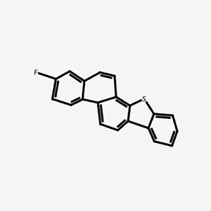 Fc1ccc2c(ccc3c2ccc2c4ccccc4sc23)c1